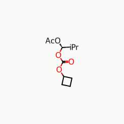 CC(=O)O[C@H](OC(=O)OC1CCC1)C(C)C